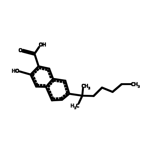 CCCCCC(C)(C)c1ccc2cc(O)c(C(=O)O)cc2c1